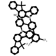 CC1(C)c2ccccc2-c2ccc3c(c21)c1ccccc1n3-c1ccc(C#N)cc1-c1cc(-c2cc(C(F)(F)F)cc(C(F)(F)F)c2)ccc1-n1c2ccccc2c2c3c(ccc21)-c1ccccc1C3(C)C